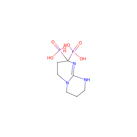 O=P(O)(O)C1(P(=O)(O)O)CCN2CCCNC2=N1